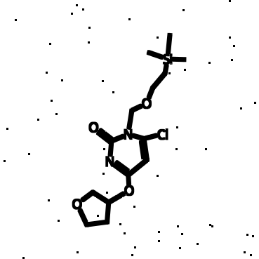 C[Si](C)(C)CCOCn1c(Cl)cc(OC2CCOC2)nc1=O